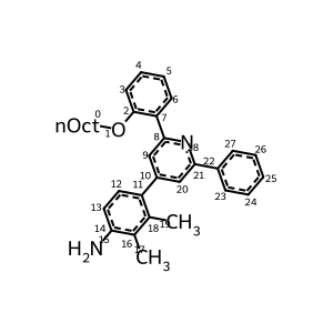 CCCCCCCCOc1ccccc1-c1cc(-c2ccc(N)c(C)c2C)cc(-c2ccccc2)n1